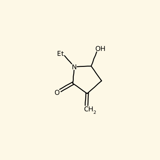 C=C1CC(O)N(CC)C1=O